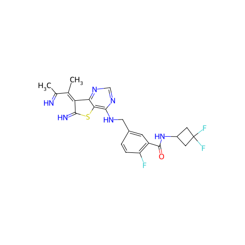 CC(=N)/C(C)=C1\C(=N)Sc2c(NCc3ccc(F)c(C(=O)NC4CC(F)(F)C4)c3)ncnc21